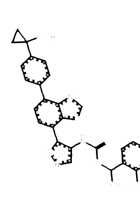 CC(OC(=O)Nc1cnoc1-c1ccc(-c2ccc(C3(C(=O)O)CC3)cc2)c2ncsc12)c1ccccc1Cl